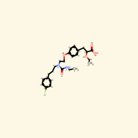 CCNC(=O)N(CCCc1ccc(F)cc1)CCOc1ccc(CC(OCC)C(=O)O)cc1